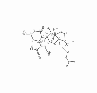 CC(C)CCC[C@@H](C)[C@H]1CC[C@H]2[C@@H]3CC=C4C[C@@H](O)CC(C(CO)C(=O)Cl)[C@]4(C)[C@H]3CC[C@]12C